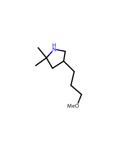 COCCCC1CNC(C)(C)C1